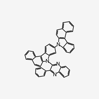 c1ccc(-c2nc3ccccc3nc2-n2c3cc(-n4c5ccccc5c5c6ccccc6ccc54)ccc3c3c4ccccc4ccc32)cc1